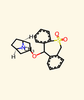 CN1[C@@H]2CC[C@H]1CC(OC1c3ccccc3CS(=O)(=O)c3ccccc31)C2